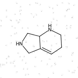 C1=C2CNCC2NCC1